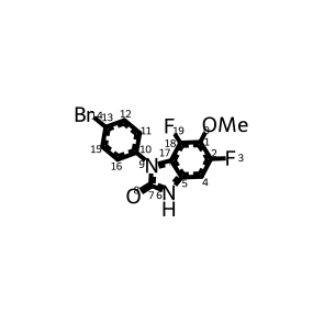 COc1c(F)cc2[nH]c(=O)n(-c3ccc(Br)cc3)c2c1F